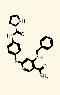 NC(=O)c1cnc(Nc2ccc(NC(=O)[C@H]3CCCN3)cc2)cc1NCc1ccccc1